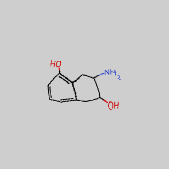 NC1Cc2c(O)cccc2CC1O